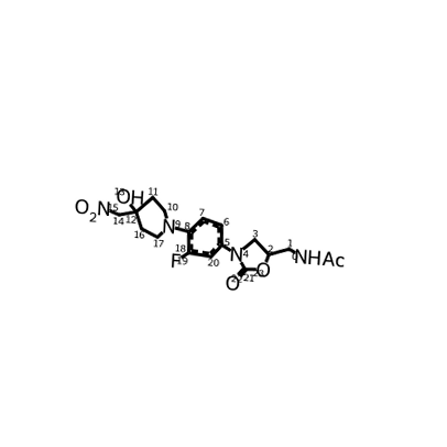 CC(=O)NCC1CN(c2ccc(N3CCC(O)(C[N+](=O)[O-])CC3)c(F)c2)C(=O)O1